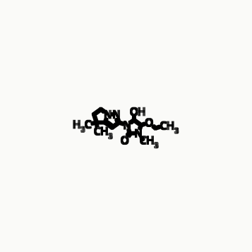 CCOC1C(O)N(c2cc3n(n2)CCC3(C)C)C(=O)N1C